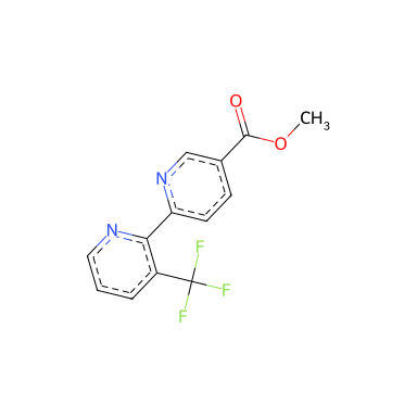 COC(=O)c1ccc(-c2ncccc2C(F)(F)F)nc1